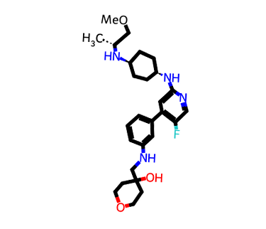 COC[C@@H](C)N[C@H]1CC[C@H](Nc2cc(-c3cccc(NCC4(O)CCOCC4)c3)c(F)cn2)CC1